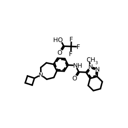 Cn1nc2c(c1C(=O)Nc1ccc3c(c1)CCN(C1CCC1)CC3)CCCC2.O=C(O)C(F)(F)F